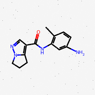 Cc1ccc(N)cc1NC(=O)c1cnn2c1CCC2